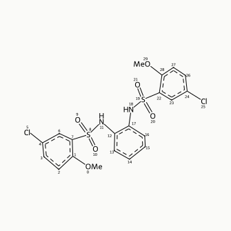 COc1ccc(Cl)cc1S(=O)(=O)Nc1ccccc1NS(=O)(=O)c1cc(Cl)ccc1OC